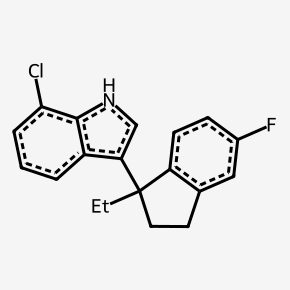 CCC1(c2c[nH]c3c(Cl)cccc23)CCc2cc(F)ccc21